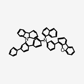 C1=CC2c3ccccc3N(c3cc(-c4ccccc4)ccc3-c3ccc(N(c4cccc(-c5cccc6c5oc5ccccc56)c4)c4cccc5ccccc45)cc3)C2C=C1